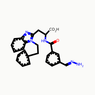 NN=Cc1cccc(C(=O)NC(Cc2nc3ccccc3n2CCc2ccccc2)C(=O)O)c1